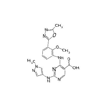 COc1c(Nc2nc(Nc3cnn(C)c3)ncc2C(=O)O)cccc1-c1nnc(C)o1